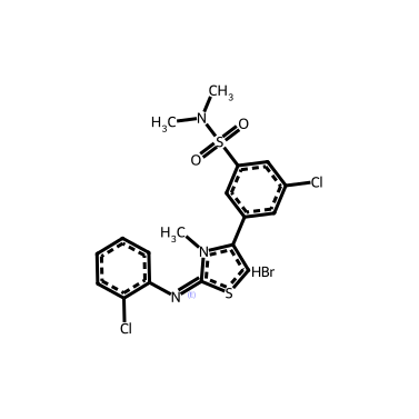 Br.CN(C)S(=O)(=O)c1cc(Cl)cc(-c2cs/c(=N/c3ccccc3Cl)n2C)c1